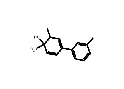 Cc1cccc(C2=CC(C)C(O)([N+](=O)[O-])C=C2)c1